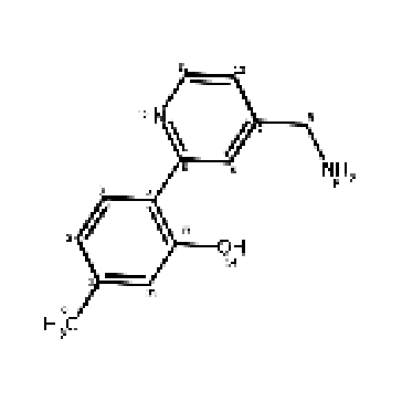 Cc1ccc(-c2cc(CN)ccn2)c(O)c1